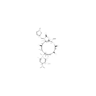 CC[C@H]1OC(=O)[C@H](C)C(=O)[C@H](C)[C@@H](O[C@@H]2O[C@H](C)C[C@H](N(C)C)[C@H]2O)[C@](C)(OC)C[C@@H](C)C(=O)[C@H](C)[C@H]2N(C[C@H]3CCN(C)C3)C(=O)O[C@]12C